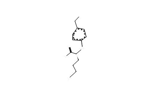 NCCC[C@H](Nc1ccc(CO)cc1)C(N)=O